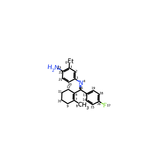 CCc1cc(/N=C(\C2=C(C)CCCC2)c2ccc(F)cc2)ccc1N